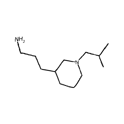 C[C](C)CN1CCCC(CCCN)C1